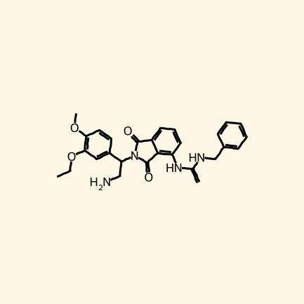 C=C(NCc1ccccc1)Nc1cccc2c1C(=O)N(C(CN)c1ccc(OC)c(OCC)c1)C2=O